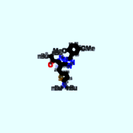 CCCCC(CCCC)C(=O)c1nn2c(-c3cc(OC)ccc3OC)nnc2/c1=C\c1ccc(N(CCCC)CCCC)s1